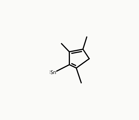 CC1=C(C)[C]([Sn])=C(C)C1